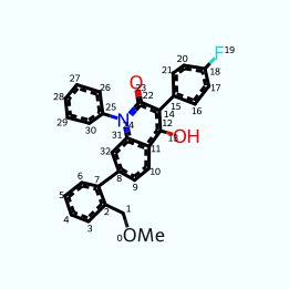 COCc1ccccc1-c1ccc2c(O)c(-c3ccc(F)cc3)c(=O)n(-c3ccccc3)c2c1